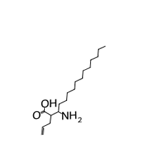 C=CCC(C(=O)O)C(N)CCCCCCCCCCCC